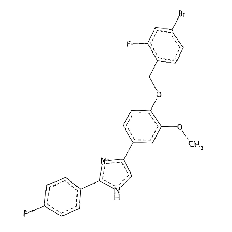 COc1cc(-c2c[nH]c(-c3ccc(F)cc3)n2)ccc1OCc1ccc(Br)cc1F